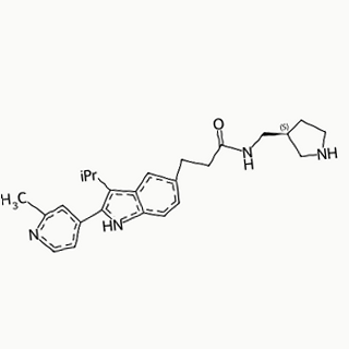 Cc1cc(-c2[nH]c3ccc(CCC(=O)NC[C@H]4CCNC4)cc3c2C(C)C)ccn1